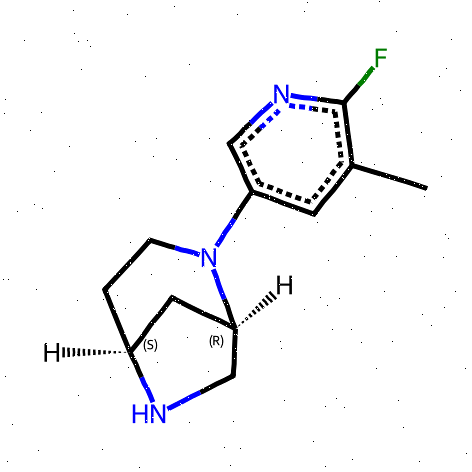 Cc1cc(N2CC[C@H]3C[C@@H]2CN3)cnc1F